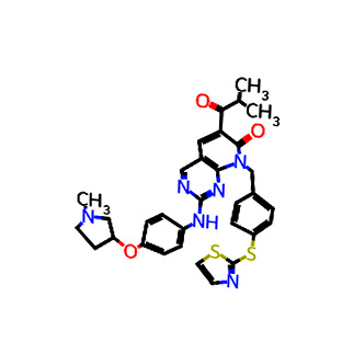 CC(C)C(=O)c1cc2cnc(Nc3ccc(OC4CCN(C)C4)cc3)nc2n(Cc2ccc(Sc3nccs3)cc2)c1=O